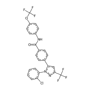 O=C(Nc1ccc(OC(F)(F)F)cc1)c1ccc(-c2cc(C(F)(F)F)nn2-c2ccccc2Cl)cc1